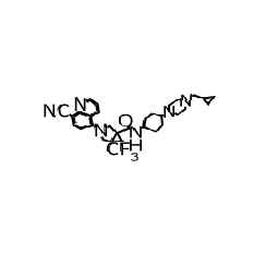 N#Cc1ccc(N2CC3(C(=O)NC4CCC(N5CCN(CC6CC6)CC5)CC4)CC3(C(F)(F)F)C2)c2cccnc12